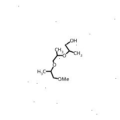 COCC(C)OCC(C)OC(C)CO